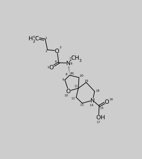 C=CCOC(=O)N(C)[C@H]1COC2(CCN(C(=O)O)CC2)C1